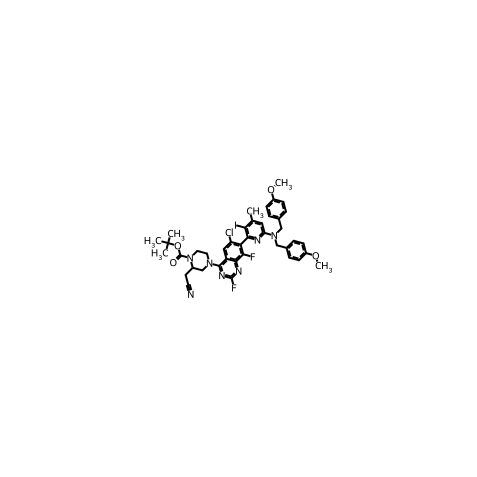 COc1ccc(CN(Cc2ccc(OC)cc2)c2cc(C)c(I)c(-c3c(Cl)cc4c(N5CCN(C(=O)OC(C)(C)C)C(CC#N)C5)nc(F)nc4c3F)n2)cc1